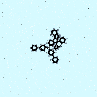 c1ccc(-c2ccc(N(c3ccc(-c4ccccc4)cc3)c3ccc4c(c3)C3(c5ccccc5Sc5ccccc53)c3ccc5ccccc5c3-4)cc2)cc1